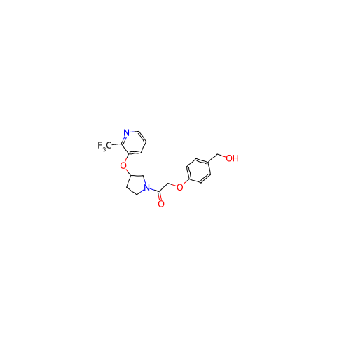 O=C(COc1ccc(CO)cc1)N1CCC(Oc2cccnc2C(F)(F)F)C1